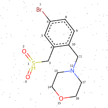 O=[SH](=O)Cc1cc(Br)ccc1CN1CCOCC1